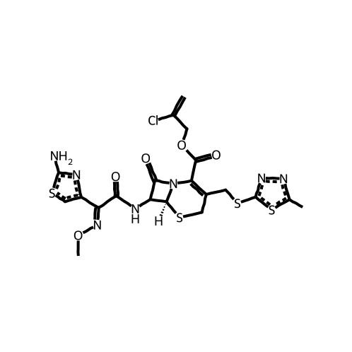 C=C(Cl)COC(=O)C1=C(CSc2nnc(C)s2)CS[C@H]2C(NC(=O)C(=NOC)c3csc(N)n3)C(=O)N12